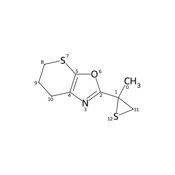 CC1(c2nc3c(o2)SCCC3)CS1